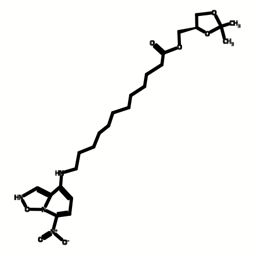 CC1(C)OC[C@H](COC(=O)CCCCCCCCCCCNC2=CC=C([N+](=O)[O-])N3ONC=C23)O1